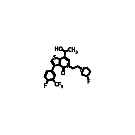 CC(O)c1cn(CCN2CCC(F)C2)c(=O)c2c(-c3ccc(F)c(C(F)(F)F)c3)csc12